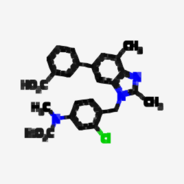 CCOC(=O)N(C)c1ccc(Cn2c(C)nc3c(C)cc(-c4cccc(C(=O)O)c4)cc32)c(Cl)c1